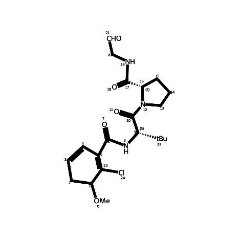 COC1CC=CC(C(=O)N[C@H](C(=O)N2CCC[C@H]2C(=O)NCC=O)C(C)(C)C)=C1Cl